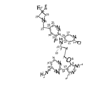 Cc1nn(C)c(OCC[C@H](C)Nc2cc(Cl)ncc2-c2ncc(CN3CC(F)(F)C3)cc2F)c1-c1nccc(N)n1